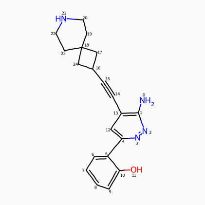 Nc1nnc(-c2ccccc2O)cc1C#CC1CC2(CCNCC2)C1